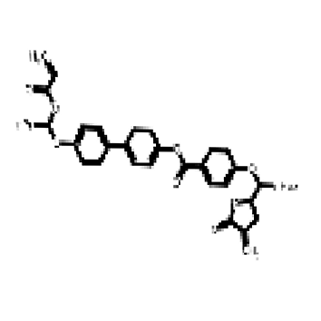 C=CC(=O)OC(CCC)OC1=CC=C(C2=CC=C(OC(=O)C3=CC=C(OC(CCCCCC)C4CC(=C)C(=O)O4)CC3)CC2)CC1